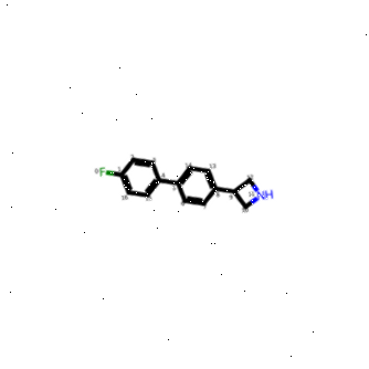 Fc1ccc(-c2ccc(C3CNC3)cc2)cc1